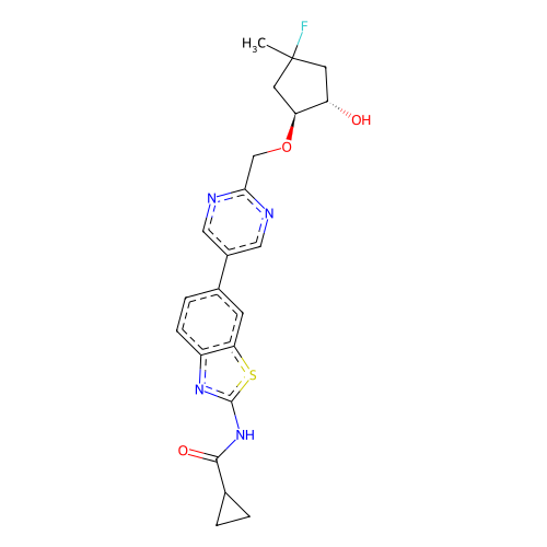 CC1(F)C[C@H](OCc2ncc(-c3ccc4nc(NC(=O)C5CC5)sc4c3)cn2)[C@@H](O)C1